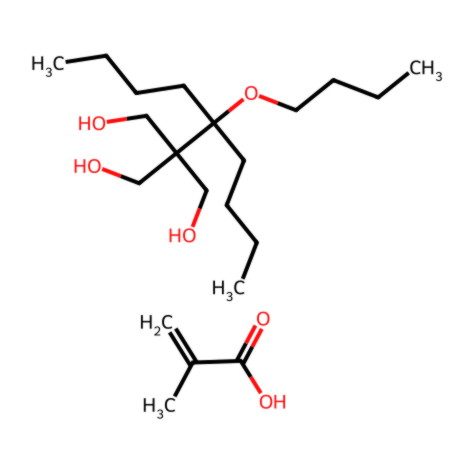 C=C(C)C(=O)O.CCCCOC(CCCC)(CCCC)C(CO)(CO)CO